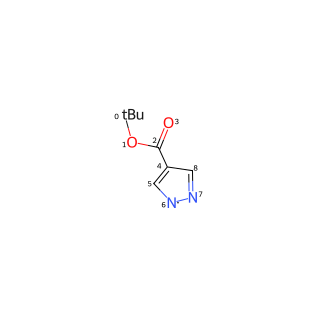 CC(C)(C)OC(=O)C1=C[N]N=C1